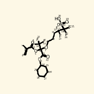 C=C(C)C(=O)OC(OCCCC(F)(F)C(F)(F)S(=O)(=O)O)(C(=O)OC1CCCCC1)C(F)(F)F